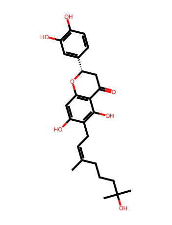 CC(=CCc1c(O)cc2c(c1O)C(=O)C[C@@H](c1ccc(O)c(O)c1)O2)CCCC(C)(C)O